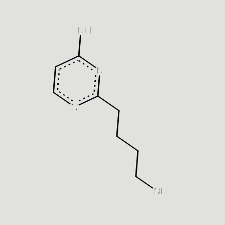 NCCCCc1nccc(N)n1